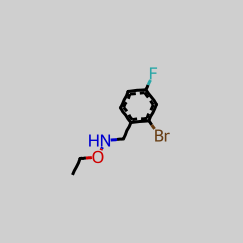 CCONCc1ccc(F)cc1Br